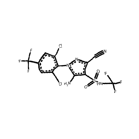 N#Cc1nn(-c2c(Cl)cc(C(F)(F)F)cc2Cl)c(N)c1S(=O)(=O)NC(F)(F)F